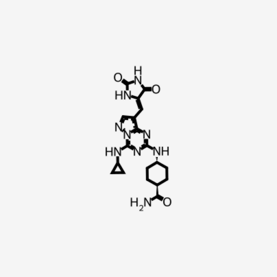 NC(=O)[C@H]1CC[C@H](Nc2nc(NC3CC3)n3ncc(/C=C4\NC(=O)NC4=O)c3n2)CC1